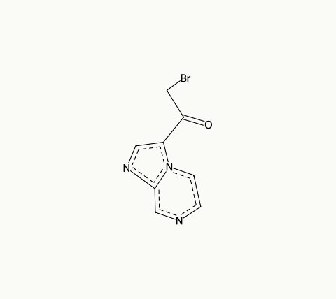 O=C(CBr)c1cnc2cnccn12